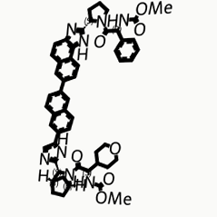 COC(=O)N[C@H](C(=O)N1[C@@H]2CC[C@@H](C2)[C@H]1c1ncc(-c2ccc3cc(-c4ccc5c(ccc6nc([C@@H]7CCCN7C(=O)[C@H](NC(=O)OC)c7ccccc7)[nH]c65)c4)ccc3c2)[nH]1)C1CCOCC1